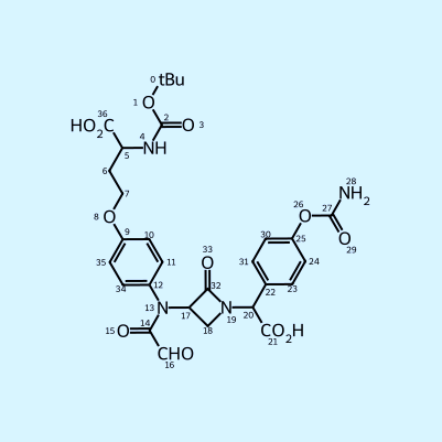 CC(C)(C)OC(=O)NC(CCOc1ccc(N(C(=O)C=O)C2CN(C(C(=O)O)c3ccc(OC(N)=O)cc3)C2=O)cc1)C(=O)O